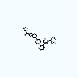 CCOC(=O)N1CC2(CCC(N3CCN(c4ncccc4/C(C=N)=N/NC(C)C)CC3)C2)C1